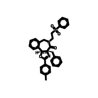 Cc1ccc(C2=N[C@]3(Cc4ccccc4)C(=O)N(CCS(=O)(=O)c4ccccc4)Cc4ccccc4[C@@H]3O2)cc1